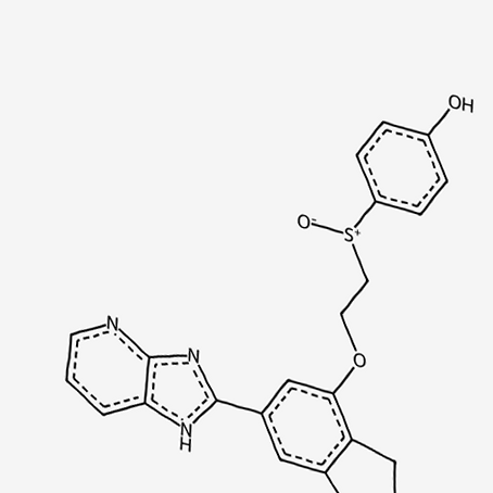 [O-][S+](CCOc1cc(-c2nc3ncccc3[nH]2)cc2c1CCC2)c1ccc(O)cc1